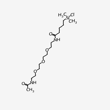 CC(=O)NCCOCCOCCOCCNC(=O)CCCC[Si](C)(C)Cl